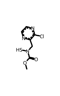 COC(=O)N(S)Cc1nccnc1Cl